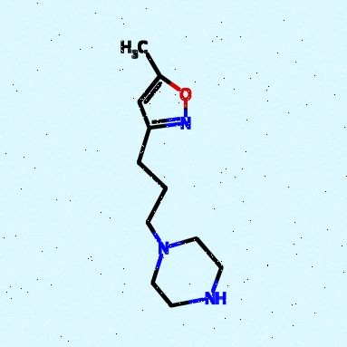 Cc1cc(CCCN2CCNCC2)no1